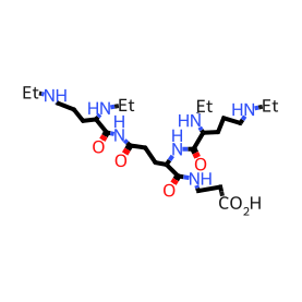 CCNCCCC(NCC)C(=O)NC(=O)CCC(NC(=O)C(CCCNCC)NCC)C(=O)NCCC(=O)O